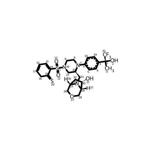 C[C@@](O)(c1ccc(N2CCN(S(=O)(=O)C3=CC=CCC3=S)C[C@@H]2CN2[C@@H]3COC[C@H]2[C@@H](O)C3)cc1)C(F)(F)F